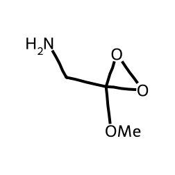 COC1(CN)OO1